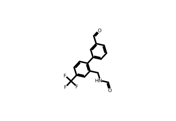 O=CNCc1cc(C(F)(F)F)ccc1-c1cccc(C=O)c1